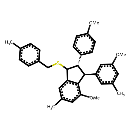 COc1ccc([C@H]2C(SCc3ccc(C)cc3)c3cc(C)cc(OC)c3[C@@H]2c2cc(C)cc(OC)c2)cc1